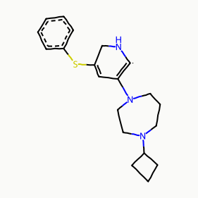 [C]1=C(N2CCCN(C3CCC3)CC2)C=C(Sc2ccccc2)CN1